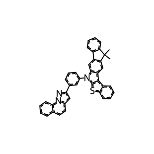 CC1(C)c2ccccc2-c2cc3c(cc21)c1c2ccccc2sc1n3-c1cccc(-c2cc3ccc4ccccc4n3n2)c1